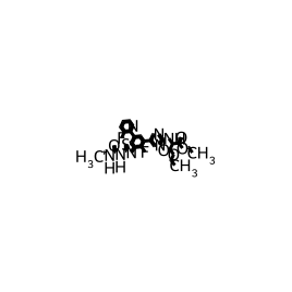 CCNC(=O)Nc1nc2c(F)c(-c3cnc(NC(C(=O)OCC)C(=O)OCC)nc3)cc(-c3ncccc3F)c2s1